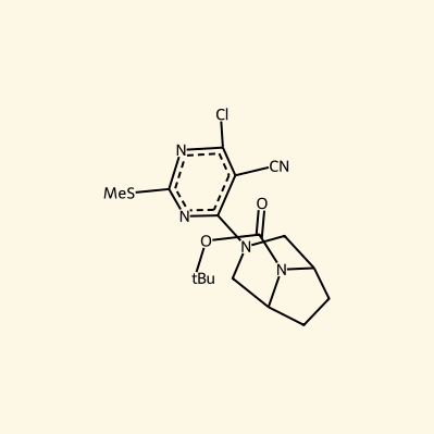 CSc1nc(Cl)c(C#N)c(N2CC3CCC(C2)N3C(=O)OC(C)(C)C)n1